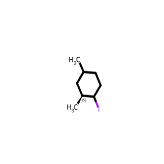 CC1CCC(I)[C@@H](C)C1